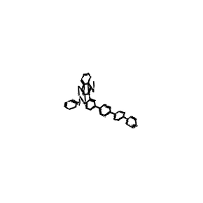 c1ccc(-c2ccc(-c3ccc(-c4ccc5c(c4)c4nc6ccccc6nc4n5-c4ccccc4)cc3)cc2)cc1